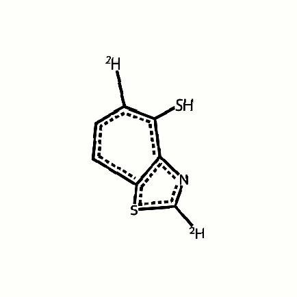 [2H]c1nc2c(S)c([2H])ccc2s1